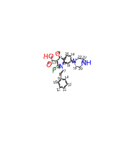 O=C(O)c1c(F)n(C=Cc2ccccc2)c2cc(N3CCNCC3)ccc2c1=O